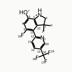 CC1(C)CNc2c(O)cc(F)c(-c3ccc(C(F)(F)F)cn3)c21